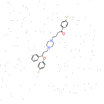 O=C(CCCN1CCN(CCC(Oc2ccc(F)cc2)c2ccccc2)CC1)c1ccc(F)cc1